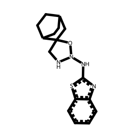 c1ccc2sc(NN3NCC4(CC5CCC4CC5)O3)nc2c1